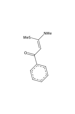 CN/C(=C/C(=O)c1ccccc1)SC